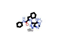 CC(C)(C)n1nc(-n2c(C(=O)Nc3ccccc3)cc3ccccc32)c2c(N)ncnc21